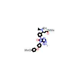 CNC(=O)C=CC(c1cccc(-n2c(=O)n(-c3ccc(Oc4ccc(OC)cc4)cc3)c3c(N)ncnc32)c1)N(C)C1CC1